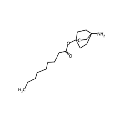 CCCCCCCCC(=O)OC12CCC(N)(CC1)CC2